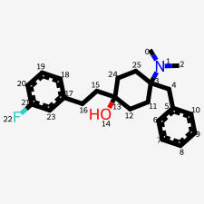 CN(C)C1(Cc2ccccc2)CCC(O)(CCc2cccc(F)c2)CC1